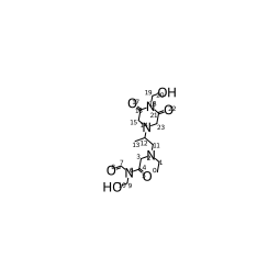 CCN(CC(=O)N(C=O)CO)CC(C)N1CC(=O)N(CO)C(=O)C1